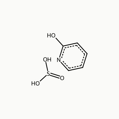 O=S(O)O.Oc1ccccn1